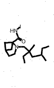 CCC(C)CC(C)(CC)CN1CCC2CC1(C(=O)NI)C2